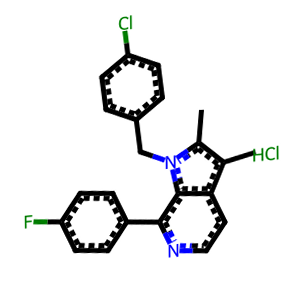 Cc1c(C)n(Cc2ccc(Cl)cc2)c2c(-c3ccc(F)cc3)nccc12.Cl